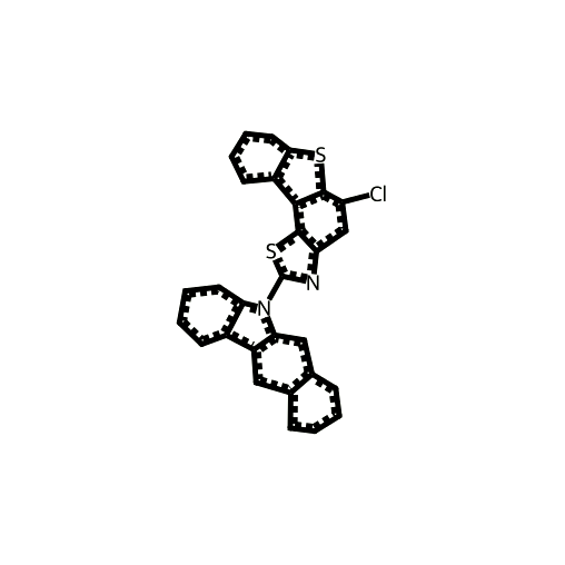 Clc1cc2nc(-n3c4ccccc4c4cc5ccccc5cc43)sc2c2c1sc1ccccc12